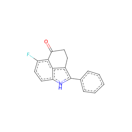 O=C1CCc2c(-c3ccccc3)[nH]c3ccc(F)c1c23